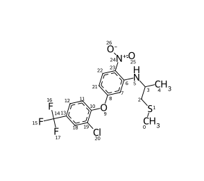 CSCC(C)Nc1cc(Oc2ccc(C(F)(F)F)cc2Cl)ccc1[N+](=O)[O-]